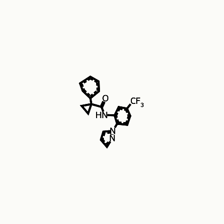 O=C(Nc1cc(C(F)(F)F)ccc1-n1cccn1)C1(c2ccccc2)CC1